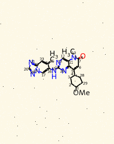 COC1CCC(c2cc(=O)n(C)c3cnc(Nc4cn5ncnc5cc4C)nc23)CC1